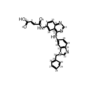 O=C(O)C=CC(=O)Nc1ccc2ncnc(Nc3ccc4ncn(Cc5ccccc5)c4c3)c2c1